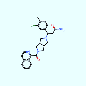 Cc1ccc(C(CC(N)=O)N2CC3CN(C(=O)c4nccc5ccccc45)CC3C2)cc1Cl